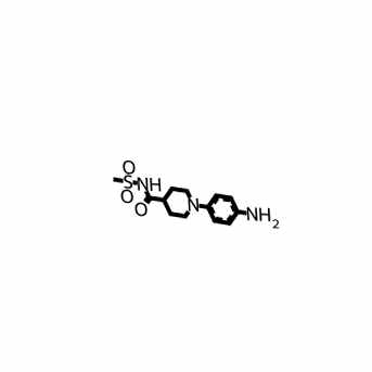 CS(=O)(=O)NC(=O)C1CCN(c2ccc(N)cc2)CC1